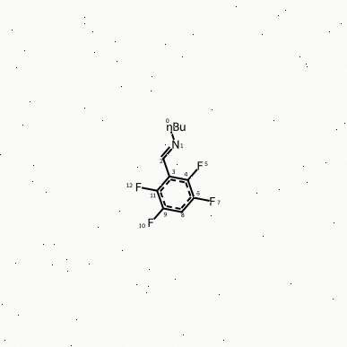 CCCCN=Cc1c(F)c(F)cc(F)c1F